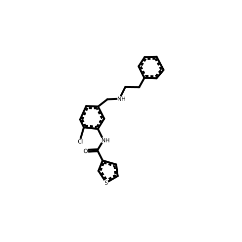 O=C(Nc1cc(CNCCc2ccccc2)ccc1Cl)c1ccsc1